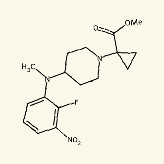 COC(=O)C1(N2CCC(N(C)c3cccc([N+](=O)[O-])c3F)CC2)CC1